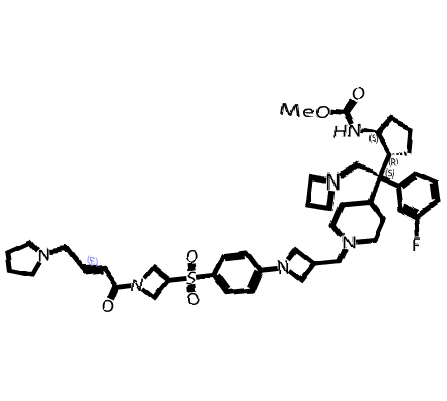 COC(=O)N[C@H]1CCC[C@@H]1[C@](CN1CCC1)(c1cccc(F)c1)C1CCN(CC2CN(c3ccc(S(=O)(=O)C4CN(C(=O)/C=C/CN5CCCC5)C4)cc3)C2)CC1